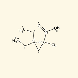 CCC1(CC)CC1(Cl)C(=O)O